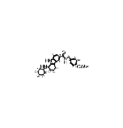 COc1ccc(CNC(=O)c2ccc3[nH]c4c(c3c2)CCCC4NC2CCCCC2)cc1